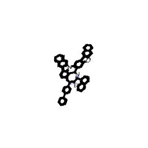 CCC1=C(\c2ccc(-c3ccccc3)cc2)CCCC(c2cc3oc4cc5ccccc5cc4c3cc2-n2c3ccccc3c3cc4ccccc4cc32)/N=C\1c1cccc2ccccc12